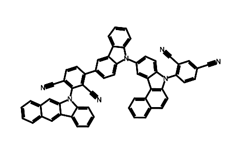 N#Cc1ccc(-n2c3ccc(-n4c5ccccc5c5cc(-c6ccc(C#N)c(-n7c8ccccc8c8cc9ccccc9cc87)c6C#N)ccc54)cc3c3c4ccccc4ccc32)c(C#N)c1